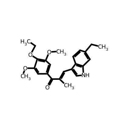 CCOc1c(OC)cc(C(=O)/C(C)=C/c2c[nH]c3cc(CC)ccc23)cc1OC